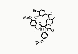 COc1ccc([C@@H](C)NC(=O)c2c3n(c(=O)n2-c2ccc(OC4CC4)cc2)CC(C)N(C(=O)c2ccc(Br)c(Cl)c2)C3)cc1